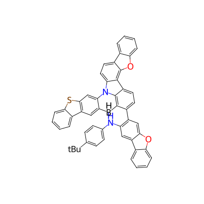 CC(C)(C)c1ccc(Nc2cc3c(cc2-c2ccc4c5c6oc7ccccc7c6ccc5n5c4c2Bc2cc4c(cc2-5)sc2ccccc24)oc2ccccc23)cc1